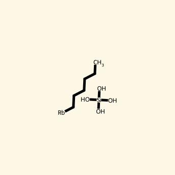 CCCCC[CH2][Rb].O[Si](O)(O)O